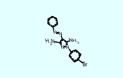 Nc1nn(-c2ccc(Br)cc2)c(N)c1/N=N/c1ccccc1